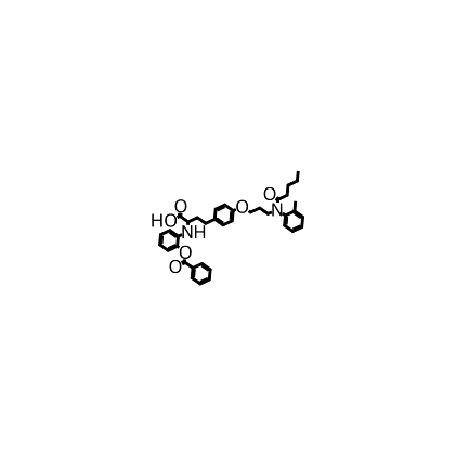 CCCCC(=O)N(CCCOc1ccc(CCC(Nc2ccccc2OC(=O)c2ccccc2)C(=O)O)cc1)c1ccccc1C